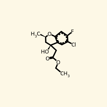 CCOC(=O)C[C@]1(O)C[C@@H](C)Oc2cc(F)c(Cl)cc21